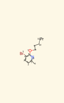 Cc1ccc(Br)c(OCCCC(C)C)n1